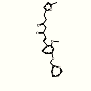 COc1cc(OCc2ccccn2)ccc1/C=C/C(=O)CC(=O)CCc1ccc(C)o1